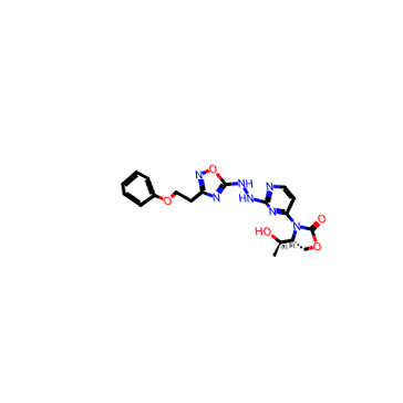 C[C@@H](O)[C@H]1COC(=O)N1c1ccnc(NNc2nc(CCOc3ccccc3)no2)n1